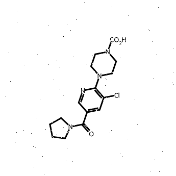 O=C(O)N1CCN(c2ncc(C(=O)N3CCCC3)cc2Cl)CC1